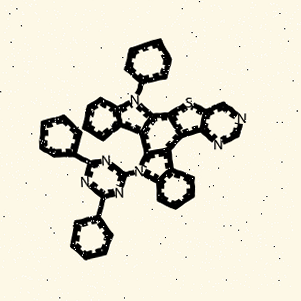 c1ccc(-c2nc(-c3ccccc3)nc(-n3c4ccccc4c4c5c6ncncc6sc5c5c(c6ccccc6n5-c5ccccc5)c43)n2)cc1